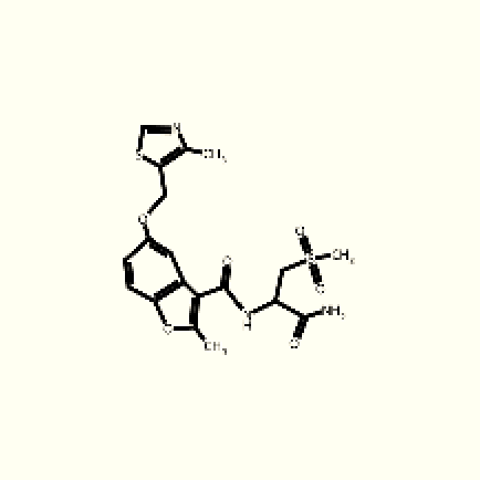 Cc1ncsc1COc1ccc2oc(C)c(C(=O)NC(CS(C)(=O)=O)C(N)=O)c2c1